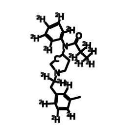 [2H]c1c([2H])c([2H])c(N(C(=O)C([2H])([2H])C([2H])([2H])[2H])C2CCN(C([2H])([2H])Cc3c([2H])c([2H])c([2H])c(C)c3[2H])CC2)c([2H])c1[2H]